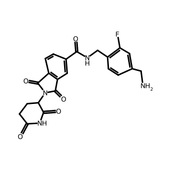 NCc1ccc(CNC(=O)c2ccc3c(c2)C(=O)N(C2CCC(=O)NC2=O)C3=O)c(F)c1